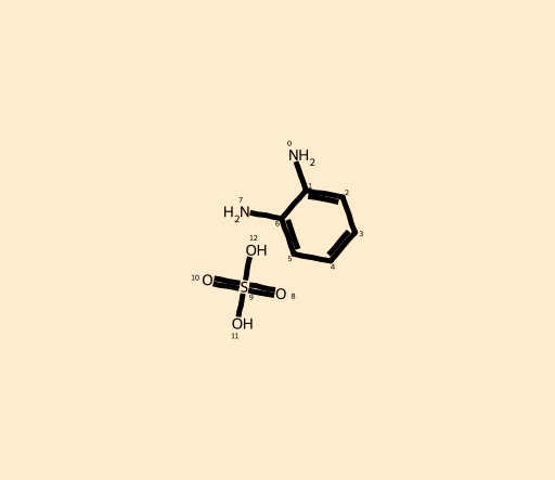 Nc1ccccc1N.O=S(=O)(O)O